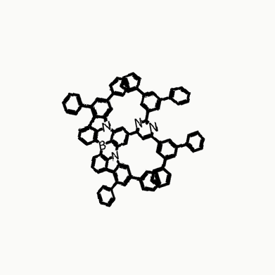 c1ccc(-c2cc(-c3ccccc3)cc(-c3cc(-c4cc5c6c(c4)-n4c7cc(-c8ccccc8)cc(-c8ccccc8)c7c7cccc(c74)B6c4cccc6c7c(-c8ccccc8)cc(-c8ccccc8)cc7n-5c46)nc(-c4cc(-c5ccccc5)cc(-c5ccccc5)c4)n3)c2)cc1